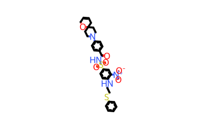 O=C(NS(=O)(=O)c1ccc(NCCSc2ccccc2)c([N+](=O)[O-])c1)c1ccc(N2CCC3(CC=CCO3)CC2)cc1